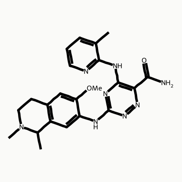 COc1cc2c(cc1Nc1nnc(C(N)=O)c(Nc3ncccc3C)n1)C(C)N(C)CC2